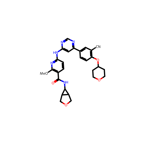 COc1nc(Nc2cc(-c3ccc(OC4CCOCC4)c(C#N)c3)ncn2)ccc1C(=O)NC1C2COCC21